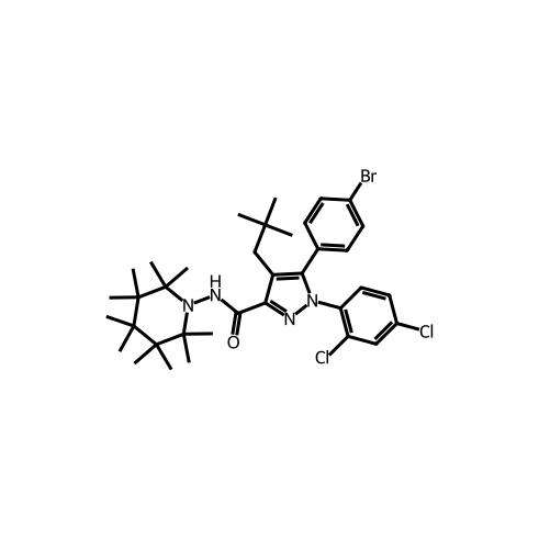 CC(C)(C)Cc1c(C(=O)NN2C(C)(C)C(C)(C)C(C)(C)C(C)(C)C2(C)C)nn(-c2ccc(Cl)cc2Cl)c1-c1ccc(Br)cc1